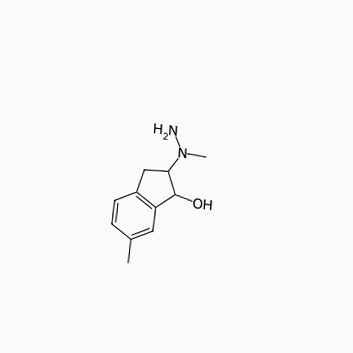 Cc1ccc2c(c1)C(O)C(N(C)N)C2